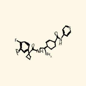 NC(CNC(=O)C1(c2ccc(F)c(F)c2)CCC1)C1CCC(C(=O)Nc2ccncc2)CC1